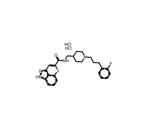 Cl.Cl.O=C(NCC1CCN(CCCc2ccccc2F)CC1)C1=Cc2n[nH]c3cccc(c23)S1